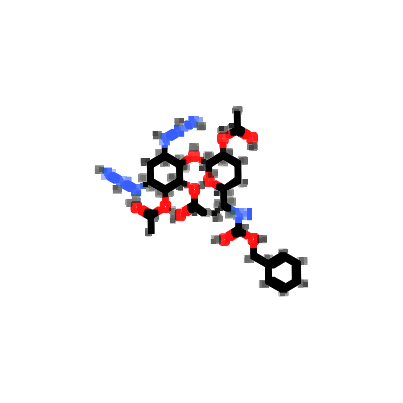 CC(=O)O[C@@H]1[C@@H](OC(C)=O)[C@H](N=[N+]=[N-])C[C@H](N=[N+]=[N-])[C@H]1O[C@H]1O[C@H]([C@@H](C)NC(=O)OCc2ccccc2)CC[C@@H]1OC(C)=O